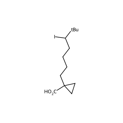 CC(C)(C)C(I)CCCCC1(C(=O)O)CC1